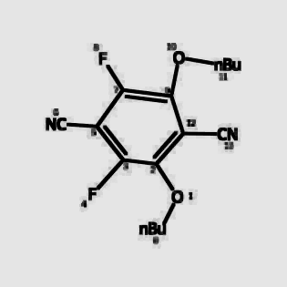 CCCCOc1c(F)c(C#N)c(F)c(OCCCC)c1C#N